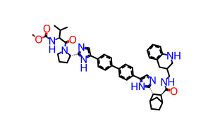 COC(=O)N[C@H](C(=O)N1CCC[C@H]1c1ncc(-c2ccc(-c3ccc(-c4cnc([C@H]5C6CCC(C6)[C@@H]5C(=O)NCC5CNc6ccccc6C5)[nH]4)cc3)cc2)[nH]1)C(C)C